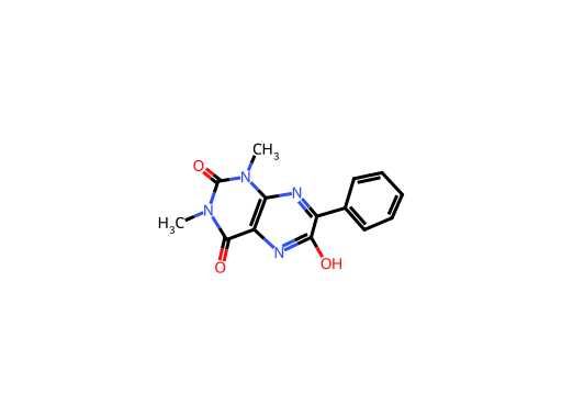 Cn1c(=O)c2nc(O)c(-c3ccccc3)nc2n(C)c1=O